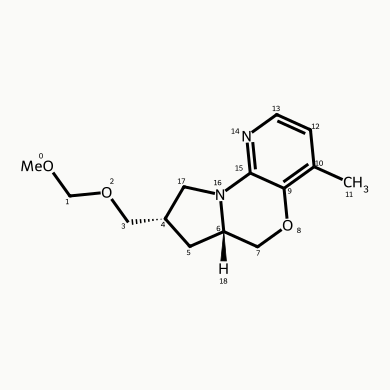 COCOC[C@H]1C[C@H]2COc3c(C)ccnc3N2C1